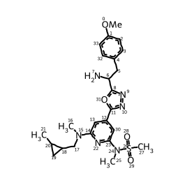 COc1ccc(CC(N)c2nnc(-c3cc(N(C)CC4CC4C)nc(N(C)S(C)(=O)=O)c3)o2)cc1